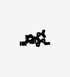 CCOC(=O)C(OC(C)C)n1cnc(=N)[nH]1